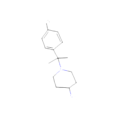 CC(C)(c1ccc(C#N)cc1)N1CCC(N)CC1